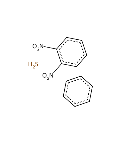 O=[N+]([O-])c1ccccc1[N+](=O)[O-].S.c1ccccc1